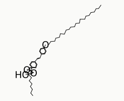 CCCCCCCCCCCCCCCCCCCCCCOc1ccc(C=Cc2ccc(S(=O)(=O)C(O)CCCCCCC)cc2)cc1